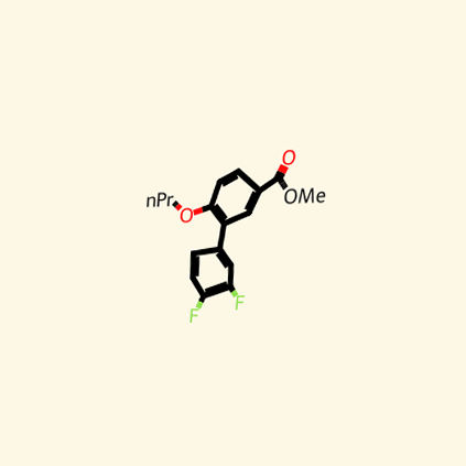 CCCOc1ccc(C(=O)OC)cc1-c1ccc(F)c(F)c1